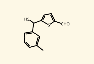 Cc1cccc(C(S)c2ccc(C=O)s2)c1